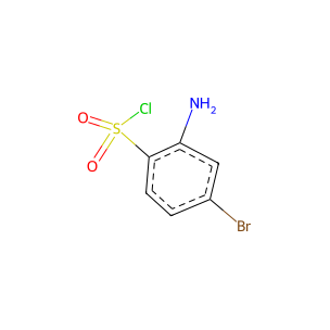 Nc1cc(Br)ccc1S(=O)(=O)Cl